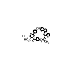 CN(C)CC[C@H](Oc1cccc2ccccc12)c1cccs1.Cc1ccc(C(=O)O[C@@H](C(=O)O)[C@@H](OC(=O)c2ccc(C)cc2)C(=O)O)cc1